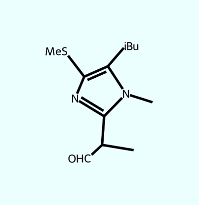 CCC(C)c1c(SC)nc(C(C)C=O)n1C